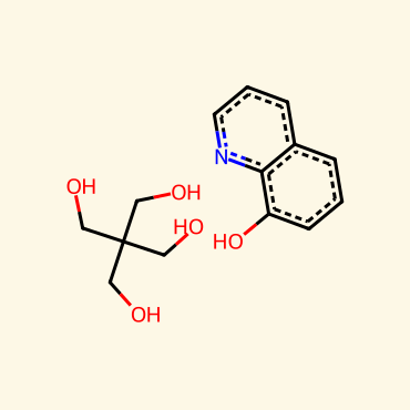 OCC(CO)(CO)CO.Oc1cccc2cccnc12